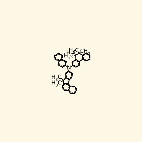 CC1(C)c2cc(N(c3ccc4c(c3)C(C)(C)C(C)(C)c3ccccc3-4)c3ccc4ccccc4c3)ccc2-c2c1ccc1ccccc21